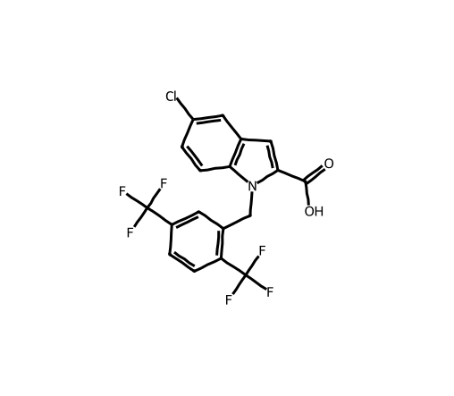 O=C(O)c1cc2cc(Cl)ccc2n1Cc1cc(C(F)(F)F)ccc1C(F)(F)F